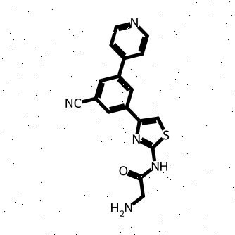 N#Cc1cc(-c2ccncc2)cc(-c2csc(NC(=O)CN)n2)c1